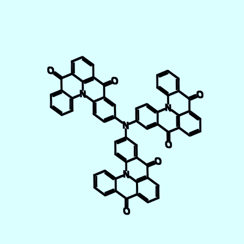 O=c1c2ccccc2n2c3ccc(N(c4ccc5c(c4)c(=O)c4cccc6c(=O)c7ccccc7n5c64)c4ccc5c(c4)c(=O)c4cccc6c(=O)c7ccccc7n5c64)cc3c(=O)c3cccc1c32